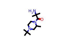 CC1CN(C(C)(C)C)CCN1C(=O)C(C)(C)N